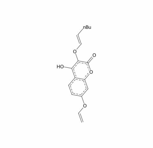 C=COc1ccc2c(O)c(OC=CCCCC)c(=O)oc2c1